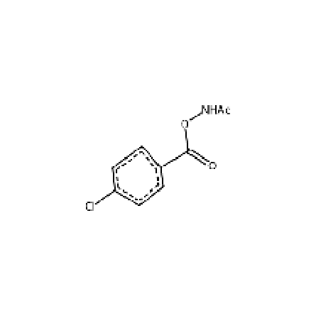 CC(=O)NOC(=O)c1ccc(Cl)cc1